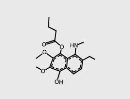 CCCC(=O)Oc1c(OC)c(OC)c(O)c2ccc(CC)c(NC)c12